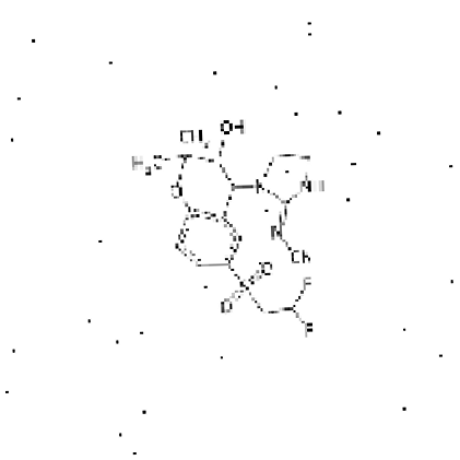 CC1(C)Oc2ccc(S(=O)(=O)CC(F)F)cc2C(N2CCNC2=NC#N)C1O